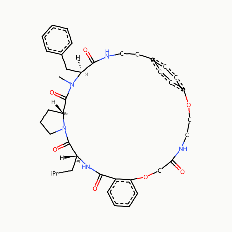 CC(C)C[C@H]1NC(=O)c2ccccc2OCC(=O)NCCOc2ccc(cc2)CCNC(=O)[C@H](Cc2ccccc2)N(C)C(=O)[C@H]2CCCN2C1=O